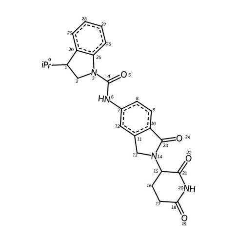 CC(C)C1CN(C(=O)Nc2ccc3c(c2)CN(C2CCC(=O)NC2=O)C3=O)c2ccccc21